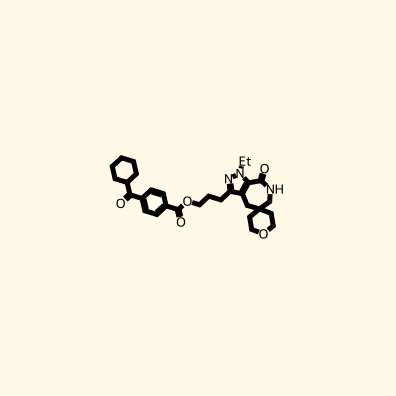 CCn1nc(CCCOC(=O)c2ccc(C(=O)C3CCCCC3)cc2)c2c1C(=O)NCC1(CCOCC1)C2